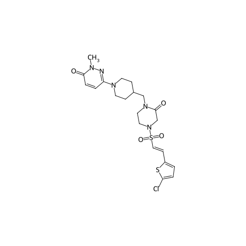 Cn1nc(N2CCC(CN3CCN(S(=O)(=O)/C=C/c4ccc(Cl)s4)CC3=O)CC2)ccc1=O